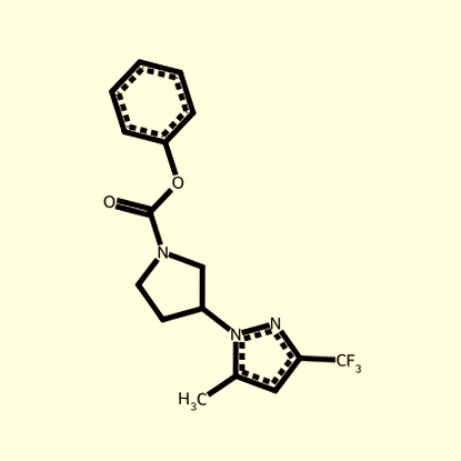 Cc1cc(C(F)(F)F)nn1C1CCN(C(=O)Oc2ccccc2)C1